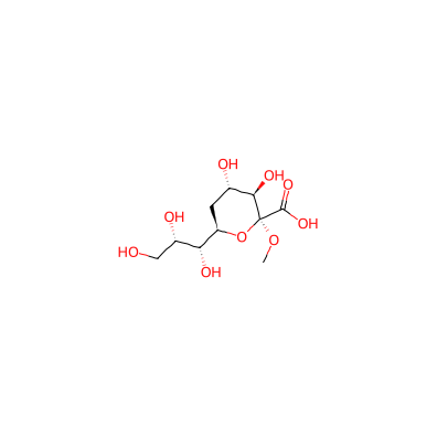 CO[C@]1(C(=O)O)O[C@@H]([C@H](O)[C@@H](O)CO)C[C@H](O)[C@H]1O